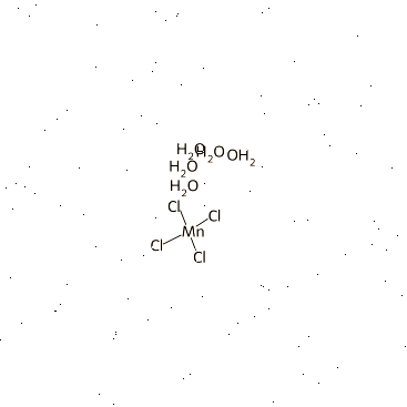 O.O.O.O.O.[Cl][Mn]([Cl])([Cl])[Cl]